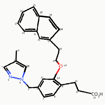 Cc1cnn(Cc2ccc(CCC(=O)O)c(OCCc3ccc4ccccc4c3)c2)c1